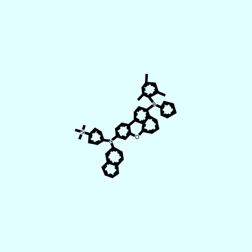 Cc1cc(C)c(B(c2ccccc2)c2ccc3c4c(cccc24)Oc2cc(N(c4ccc([Si](C)(C)C)cc4)c4ccc5ccccc5c4)ccc2-3)c(C)c1